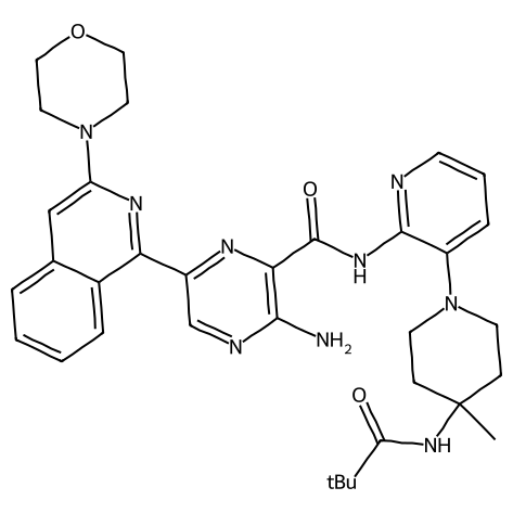 CC1(NC(=O)C(C)(C)C)CCN(c2cccnc2NC(=O)c2nc(-c3nc(N4CCOCC4)cc4ccccc34)cnc2N)CC1